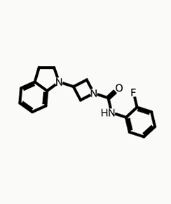 O=C(Nc1ccccc1F)N1CC(N2CCc3ccccc32)C1